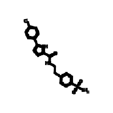 NS(=O)(=O)c1ccc(CCNC(=O)c2ccc(-c3ccc(Cl)cc3)[nH]2)cc1